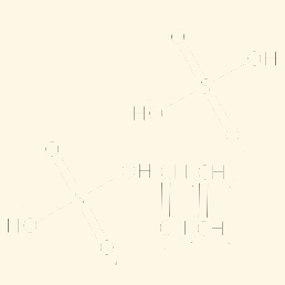 C=C.C=C.O=S(=O)(O)O.O=S(=O)(O)O